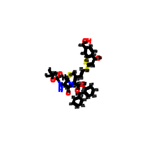 CC(C)(C)OC(=O)N[C@@H]1C(=O)N2C(C(=O)OC(c3ccccc3)c3ccccc3)=C(/C=C/Sc3cc(=O)c4ccc(CO)cc4s3)CS[C@H]12